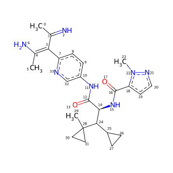 CC(=N)/C(=C(/C)N)c1ccc(NC(=O)[C@@H](NC(=O)c2ccnn2C)C(C2CC2)C2(C)CC2)cn1